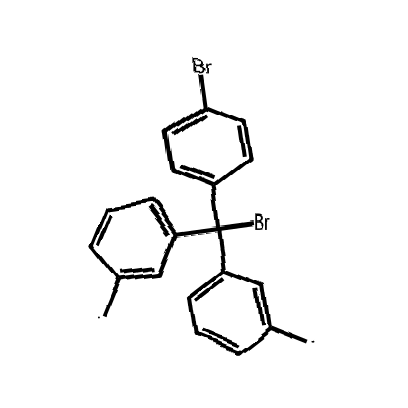 [CH2]c1cccc(C(Br)(c2ccc(Br)cc2)c2cccc([CH2])c2)c1